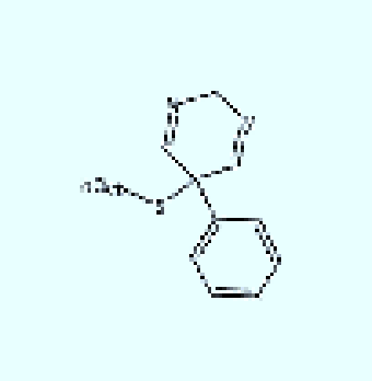 CCCCCCCCSC1(c2cc[c]cc2)C=NCN=C1